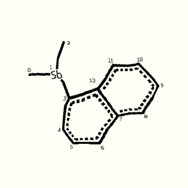 [CH3][Sb]([CH3])[c]1cccc2ccccc12